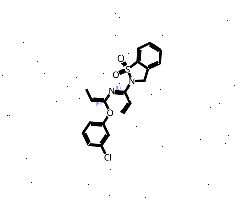 C=C/C(=N\C(=C/C)Oc1cccc(Cl)c1)N1Cc2ccccc2S1(=O)=O